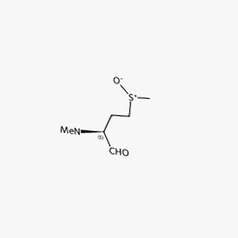 CN[C@H](C=O)CC[S+](C)[O-]